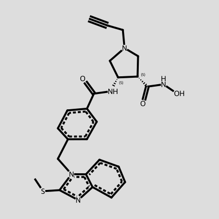 C#CCN1C[C@H](C(=O)NO)[C@H](NC(=O)c2ccc(Cn3c(SC)nc4ccccc43)cc2)C1